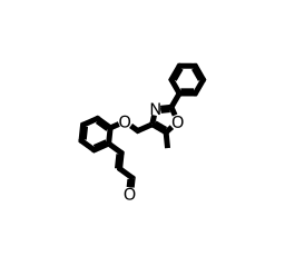 Cc1oc(-c2ccccc2)nc1COc1ccccc1/C=C/C=O